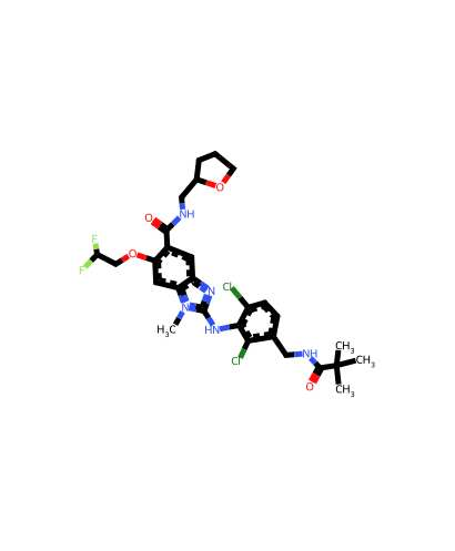 Cn1c(Nc2c(Cl)ccc(CNC(=O)C(C)(C)C)c2Cl)nc2cc(C(=O)NCC3CCCO3)c(OCC(F)F)cc21